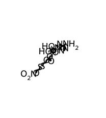 Nc1ncnc2c1ncn2[C@@H]1O[C@H](COC(=O)OCCSSCCO[N+](=O)[O-])[C@@H](O)[C@H]1O